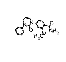 COc1cc(N2C=CCN(c3ccccc3)C2=O)ccc1C(N)=O